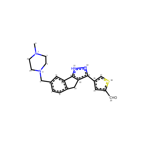 CN1CCN(Cc2ccc3c(c2)-c2[nH]nc(-c4csc(C=O)c4)c2C3)CC1